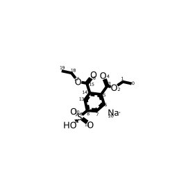 CCOC(=O)c1ccc(S(=O)(=O)O)cc1C(=O)OCC.[Na]